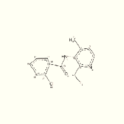 Cc1ccnc(CI)c1NC(=O)c1cccnc1Cl